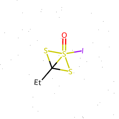 CCC12SS1(=O)(I)S2